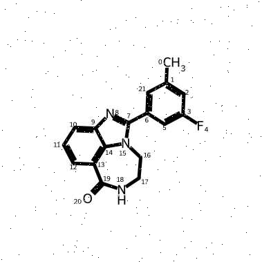 Cc1cc(F)cc(-c2nc3cccc4c3n2CCNC4=O)c1